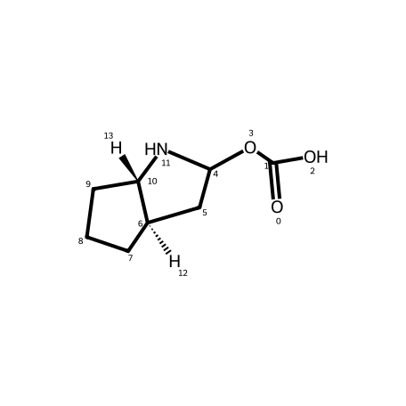 O=C(O)OC1C[C@H]2CCC[C@@H]2N1